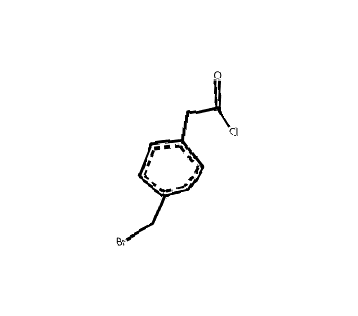 O=C(Cl)Cc1ccc(CBr)cc1